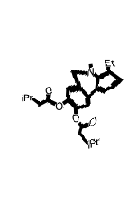 CCc1cccc2c1N(C)Cc1cc(OC(=O)CC(C)C)c(OC(=O)CC(C)C)cc1-2